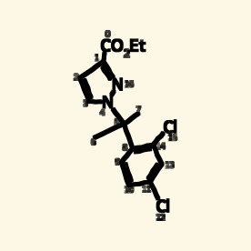 CCOC(=O)c1ccn(C(C)(C)c2ccc(Cl)cc2Cl)n1